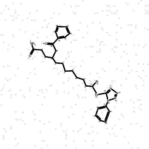 NC(=O)CCC(CCCCCCCC(Br)[Se]c1nnnn1-c1ccccc1)CC(=O)c1ccccc1